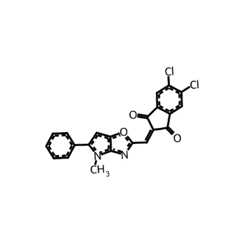 Cn1c(-c2ccccc2)cc2oc(C=C3C(=O)c4cc(Cl)c(Cl)cc4C3=O)nc21